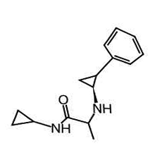 CC(N[C@H]1CC1c1ccccc1)C(=O)NC1CC1